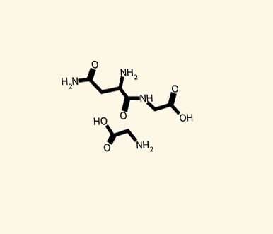 NC(=O)CC(N)C(=O)NCC(=O)O.NCC(=O)O